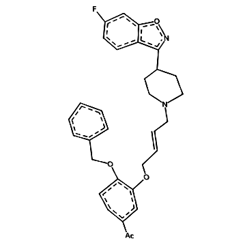 CC(=O)c1ccc(OCc2ccccc2)c(OCC=CCN2CCC(c3noc4cc(F)ccc34)CC2)c1